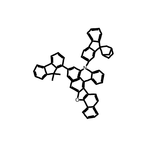 CC1(C)c2ccccc2-c2cccc(-c3cccc(N(c4ccc5c(c4)C4(CC6CCC4C6)c4ccccc4-5)c4ccccc4-c4cccc5oc6c7ccccc7ccc6c45)c3)c21